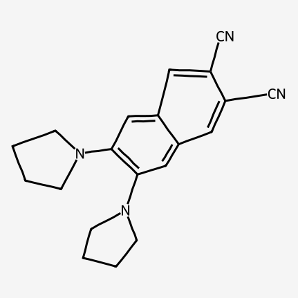 N#Cc1cc2cc(N3CCCC3)c(N3CCCC3)cc2cc1C#N